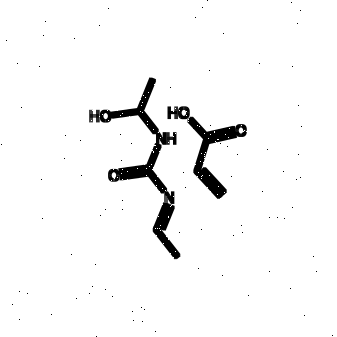 C=CC(=O)O.CC=NC(=O)NC(C)O